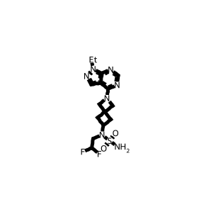 CCn1ncc2c(N3CC4(CC(N(CC(F)F)S(N)(=O)=O)C4)C3)ncnc21